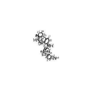 CNCc1ccccc1CN(CC(=O)Nc1ccc2c(c1)CC1(C2)c2cccnc2NC1O)C(=O)C1(C(F)(F)F)CCC1